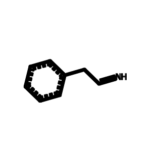 N=CCc1ccccc1